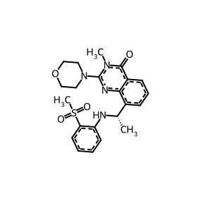 C[C@H](Nc1ccccc1S(C)(=O)=O)c1cccc2c(=O)n(C)c(N3CCOCC3)nc12